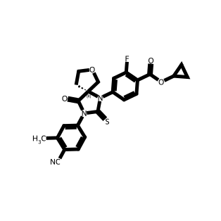 Cc1cc(N2C(=O)[C@]3(CCOC3)N(c3ccc(C(=O)OC4CC4)c(F)c3)C2=S)ccc1C#N